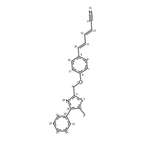 Cc1sc(COc2ccc(C=CC=CC#N)cc2)nc1-c1ccccc1